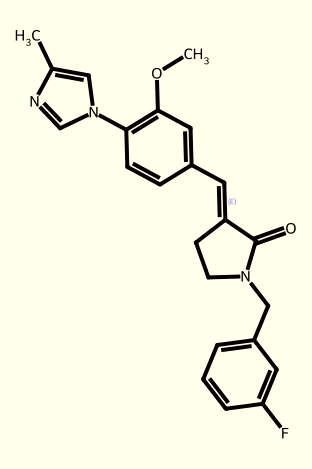 COc1cc(/C=C2\CCN(Cc3cccc(F)c3)C2=O)ccc1-n1cnc(C)c1